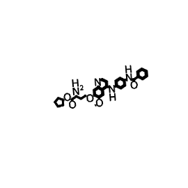 COc1cc2c(Nc3ccc(NC(=O)c4ccccc4)cc3)ccnc2cc1OCCC(N)C(=O)OC1CCCC1